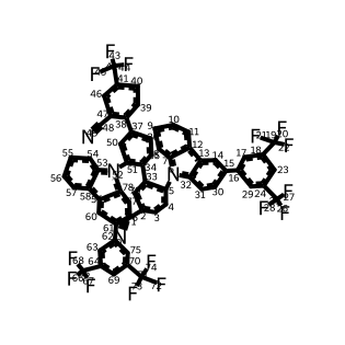 N#Cc1ccc(-n2c3ccccc3c3cc(-c4cc(C(F)(F)F)cc(C(F)(F)F)c4)ccc32)c(-c2ccc(-c3ccc(C(F)(F)F)cc3C#N)cc2-n2c3ccccc3c3cc(-c4cc(C(F)(F)F)cc(C(F)(F)F)c4)ccc32)c1